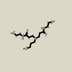 O=C(CCN(CCCO)CCC(=O)NCCS)NCCS